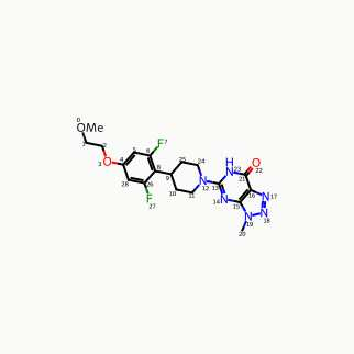 COCCOc1cc(F)c(C2CCN(c3nc4c(nnn4C)c(=O)[nH]3)CC2)c(F)c1